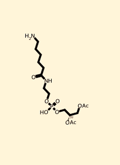 CC(=O)OC[C@@H](COP(=O)(O)OCCNC(=O)CCCCCN)OC(C)=O